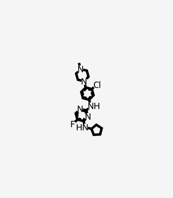 CN1CCN(c2ccc(Nc3ncc(F)c(NC4CCCC4)n3)cc2Cl)CC1